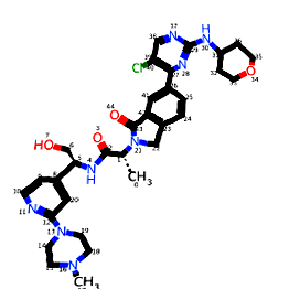 C[C@H](C(=O)N[C@H](CO)c1ccnc(N2CCN(C)CC2)c1)N1Cc2ccc(-c3nc(NC4CCOCC4)ncc3Cl)cc2C1=O